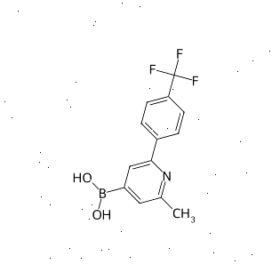 Cc1cc(B(O)O)cc(-c2ccc(C(F)(F)F)cc2)n1